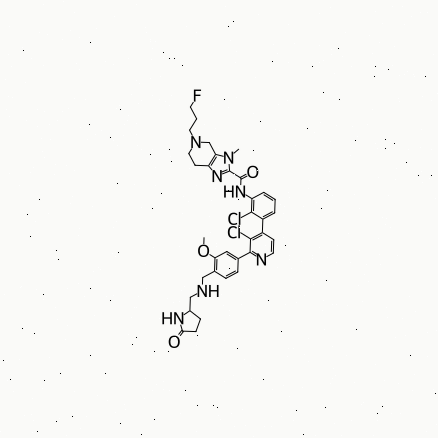 COc1cc(-c2nccc(-c3cccc(NC(=O)c4nc5c(n4C)CN(CCCF)CC5)c3Cl)c2Cl)ccc1CNCC1CCC(=O)N1